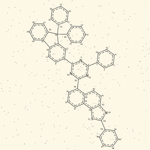 c1ccc(-c2nc(-c3ccc4c(c3)C(c3ccccc3)(c3ccccc3)c3ccccc3-4)nc(-c3cccc4c3ccc3nc(-c5ccccc5)sc34)n2)cc1